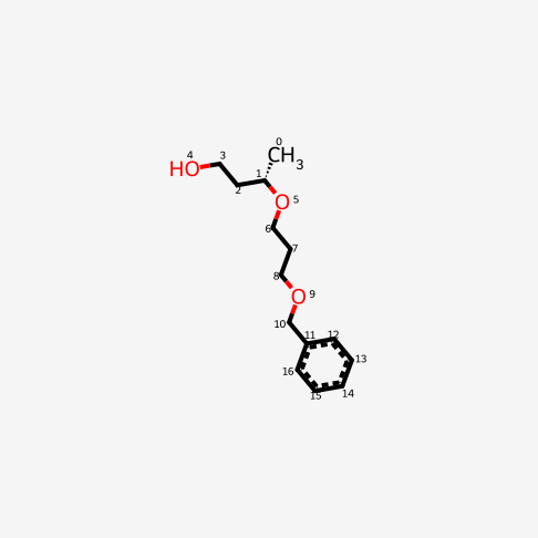 C[C@@H](CCO)OCCCOCc1ccccc1